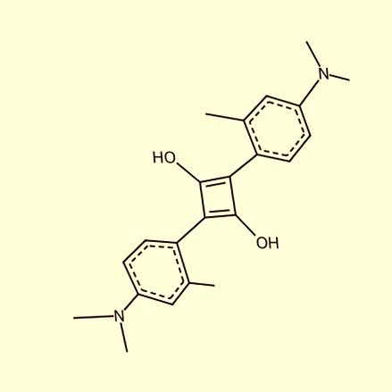 Cc1cc(N(C)C)ccc1C1=C(O)C(c2ccc(N(C)C)cc2C)=C1O